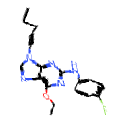 CCCC#Cn1cnc2c(OCC)nc(Nc3ccc(F)cc3)nc21